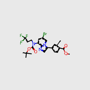 COC(=O)c1ccc(-c2cnc3c(N(CCC(F)(F)F)C(=O)OC(C)(C)C)cc(Br)cn23)cc1C